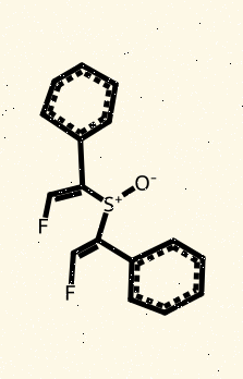 [O-][S+](C(=CF)c1ccccc1)C(=CF)c1ccccc1